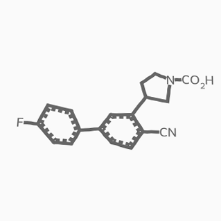 N#Cc1ccc(-c2ccc(F)cc2)cc1C1CCN(C(=O)O)C1